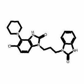 O=c1[nH]c2ccccc2n1CCCn1c(=O)[nH]c2c(N3CCCCC3)c(Cl)ccc21